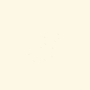 CC[C@@H](c1cn(-c2ccccc2F)nn1)n1cc(-c2cnc(C(F)F)nc2)c2c(N)ncnc21